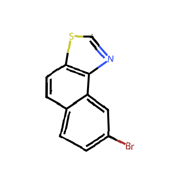 Brc1ccc2ccc3s[c]nc3c2c1